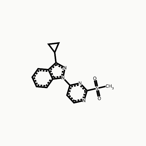 CS(=O)(=O)c1nccc(-n2nc(C3CC3)c3ccccc32)n1